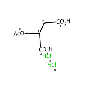 CC(=O)OC(CC(=O)O)C(=O)O.Cl.Cl